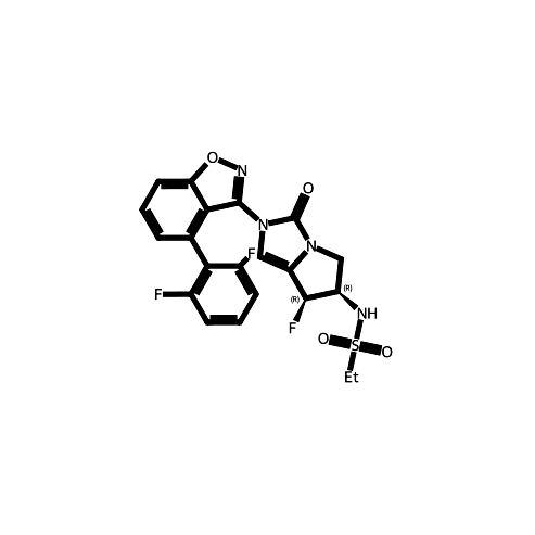 CCS(=O)(=O)N[C@@H]1Cn2c(cn(-c3noc4cccc(-c5c(F)cccc5F)c34)c2=O)[C@@H]1F